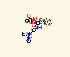 CCN(CCc1ccc(NC(=O)c2cc(OC)c(OC)cc2NC(=O)c2cc(=O)c3ccccc3o2)cc1)C(=O)Cc1ccccn1